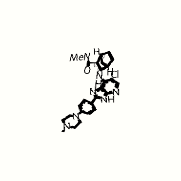 CNC(=O)[C@@H]1[C@H](Nc2c(Cl)cnc3[nH]c(-c4ccc(N5CCN(C)CC5)cc4)nc23)[C@H]2C=C[C@@H]1C2